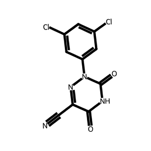 N#Cc1nn(-c2cc(Cl)cc(Cl)c2)c(=O)[nH]c1=O